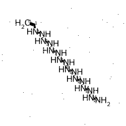 C=CNNNNNNNNNNNNNNNN